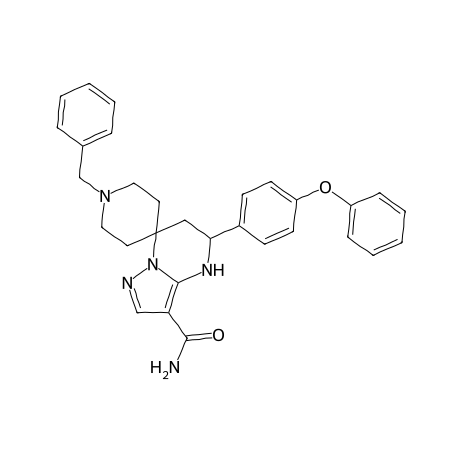 NC(=O)c1cnn2c1NC(c1ccc(Oc3ccccc3)cc1)CC21CCN(Cc2ccccc2)CC1